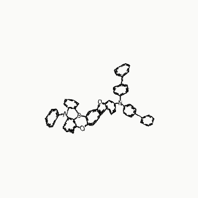 c1ccc(-c2ccc(N(c3ccc(-c4ccccc4)cc3)c3ccc4c(c3)oc3cc5c(cc34)Oc3cccc4c3B5c3ccccc3N4c3ccccc3)cc2)cc1